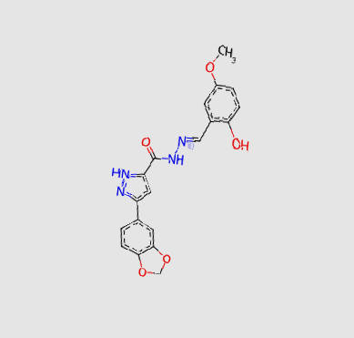 COc1ccc(O)c(/C=N/NC(=O)c2cc(-c3ccc4c(c3)OCO4)n[nH]2)c1